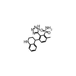 Cc1ccc(C2CCNc3ccccc32)c(-c2nnn[nH]2)c1S(N)(=O)=O